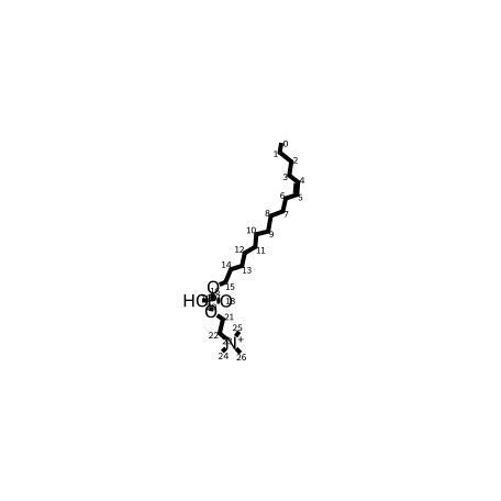 CCCC/C=C\CCCCCCCCCCOP(=O)(O)OCC[N+](C)(C)C